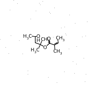 CC=C(C)C(=O)OC(C)(C)CC(C)O